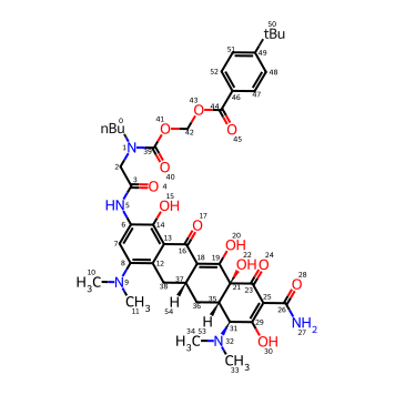 CCCCN(CC(=O)Nc1cc(N(C)C)c2c(c1O)C(=O)C1=C(O)[C@]3(O)C(=O)C(C(N)=O)=C(O)[C@@H](N(C)C)[C@@H]3C[C@@H]1C2)C(=O)OCOC(=O)c1ccc(C(C)(C)C)cc1